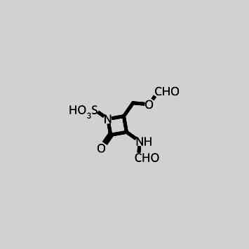 O=CNC1C(=O)N(S(=O)(=O)O)C1COC=O